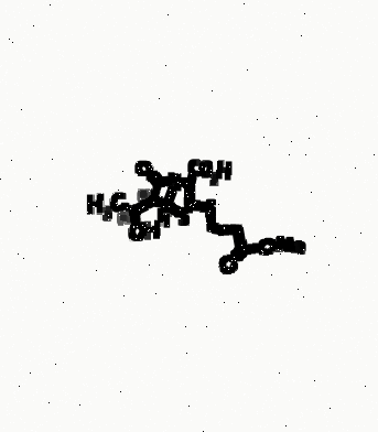 COC(=O)CCSC1=C(C(=O)O)N2C(=O)[C@H]([C@@H](C)O)[C@H]2S1